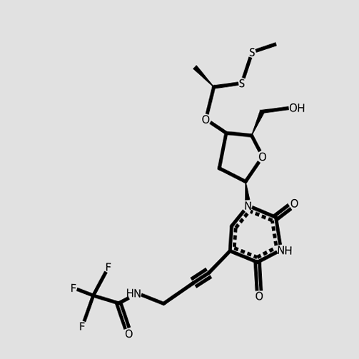 CSS[C@H](C)OC1C[C@H](n2cc(C#CCNC(=O)C(F)(F)F)c(=O)[nH]c2=O)O[C@@H]1CO